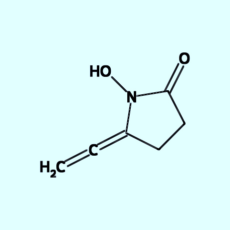 C=C=C1CCC(=O)N1O